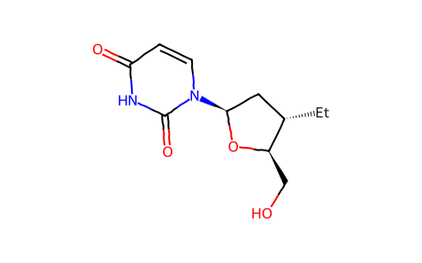 CC[C@H]1C[C@H](n2ccc(=O)[nH]c2=O)O[C@@H]1CO